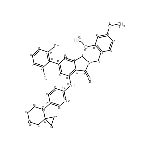 COc1ccc(CN2Cc3nc(-c4c(F)cccc4F)cc(Nc4ccc(N5CCOCC56CC6)cn4)c3C2=O)c(OC)c1